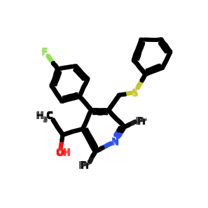 CC(C)c1nc(C(C)C)c(C(C)O)c(-c2ccc(F)cc2)c1CSc1ccccc1